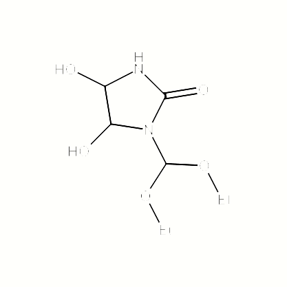 CCOC(OCC)N1C(=O)NC(O)C1O